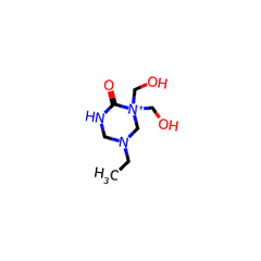 CCN1CNC(=O)[N+](CO)(CO)C1